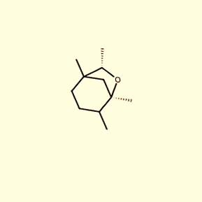 CC1CCC2(C)C[C@@]1(C)O[C@H]2C